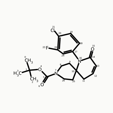 CC(C)(C)OC(=O)N1CCC2(CC=CC(=O)N2c2ccc(Cl)c(F)c2)CC1